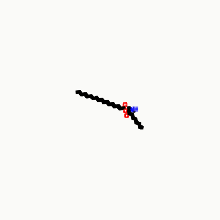 CCCCCCCCCCCCCCCCCC(=O)OC(C)(NC)C(=O)CCCCCCC